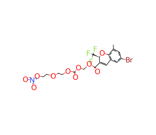 Cc1cc(Br)cc2c1O[C@H](C(F)(F)F)C(C(=O)OCOC(=O)OCCOCCO[N+](=O)[O-])=C2